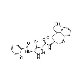 CCN1C(=O)[C@H](NC(=O)c2n[nH]c(NC(=O)c3ccccc3Cl)c2Br)COc2ccccc21